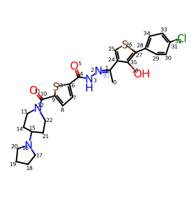 C/C(=N\NC(=O)c1ccc(C(=O)N2CCC(N3CCCC3)CC2)s1)c1csc(-c2ccc(Cl)cc2)c1O